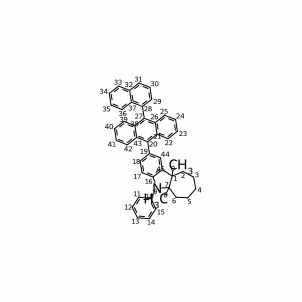 CC12CCCCCC1(C)N(c1ccccc1)c1ccc(-c3c4ccccc4c(-c4cccc5ccccc45)c4ccccc34)cc12